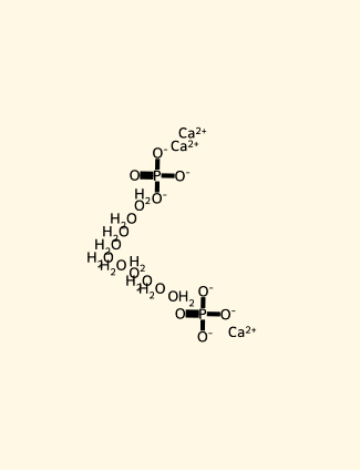 O.O.O.O.O.O.O.O.O.O.O=P([O-])([O-])[O-].O=P([O-])([O-])[O-].[Ca+2].[Ca+2].[Ca+2]